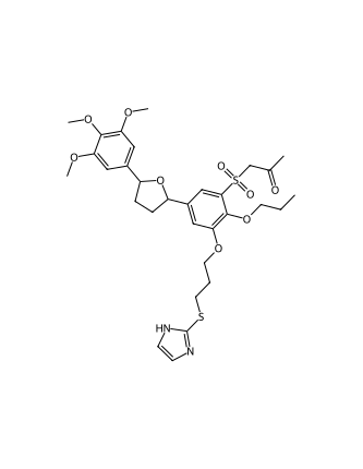 CCCOc1c(OCCCSc2ncc[nH]2)cc(C2CCC(c3cc(OC)c(OC)c(OC)c3)O2)cc1S(=O)(=O)CC(C)=O